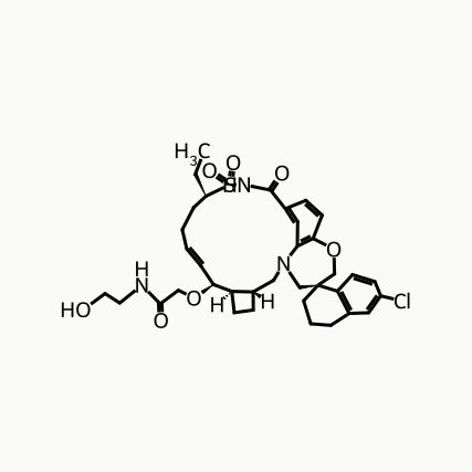 CC[C@@H]1CC/C=C/[C@H](OCC(=O)NCCO)[C@@H]2CC[C@H]2CN2C[C@@]3(CCCc4cc(Cl)ccc43)COc3ccc(cc32)C(=O)NS1(=O)=O